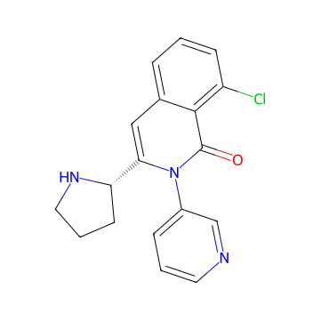 O=c1c2c(Cl)cccc2cc([C@@H]2CCCN2)n1-c1cccnc1